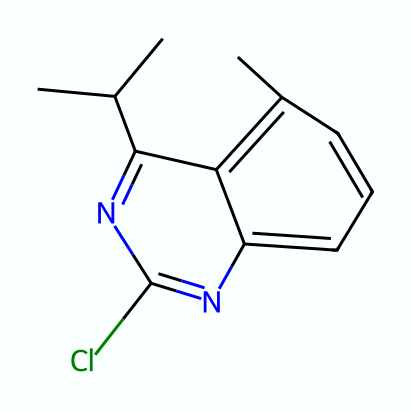 Cc1cccc2nc(Cl)nc(C(C)C)c12